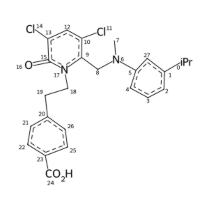 CC(C)c1cccc(N(C)Cc2c(Cl)cc(Cl)c(=O)n2CCc2ccc(C(=O)O)cc2)c1